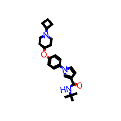 CC(C)(C)NC(=O)c1ccn(-c2ccc(OC3CCN(C4CCC4)CC3)cc2)c1